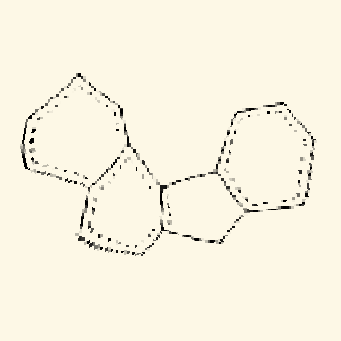 [CH]1c2ccccc2-c2c1ccc1ccccc21